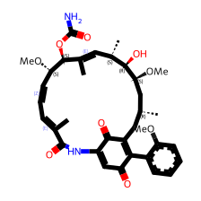 COc1ccccc1C1=C2C[C@@H](C)C[C@H](OC)[C@H](O)[C@@H](C)/C=C(\C)[C@H](OC(N)=O)[C@@H](OC)/C=C\C=C(/C)C(=O)NC(=CC1=O)C2=O